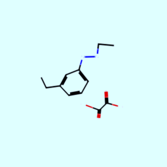 CCNNc1cccc(CC)c1.O=C(O)C(=O)O